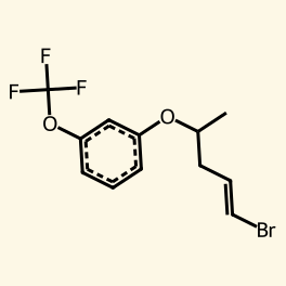 CC(CC=CBr)Oc1cccc(OC(F)(F)F)c1